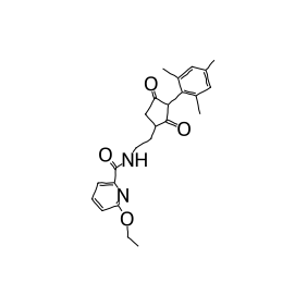 CCOc1cccc(C(=O)NCCC2CC(=O)C(c3c(C)cc(C)cc3C)C2=O)n1